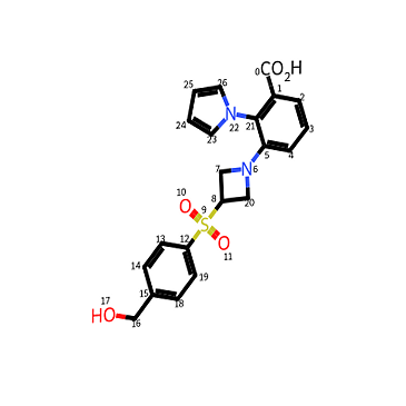 O=C(O)c1cccc(N2CC(S(=O)(=O)c3ccc(CO)cc3)C2)c1-n1cccc1